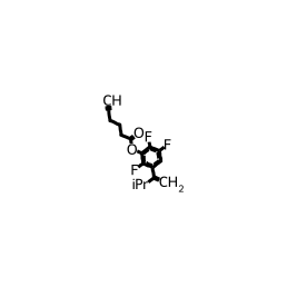 C#CCCCC(=O)Oc1c(F)c(F)cc(C(=C)C(C)C)c1F